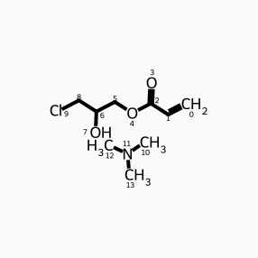 C=CC(=O)OCC(O)CCl.CN(C)C